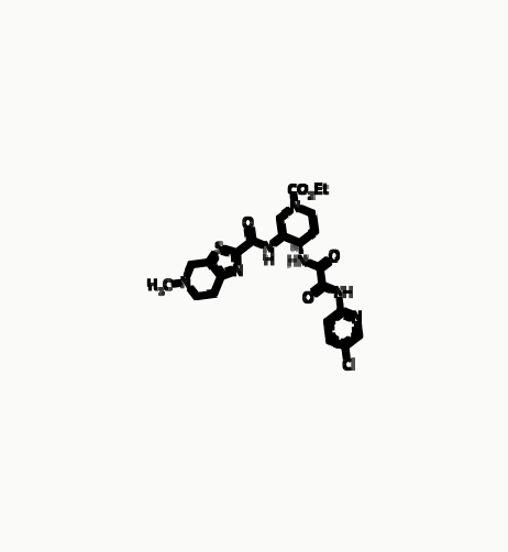 CCOC(=O)N1CC[C@H](NC(=O)C(=O)Nc2ccc(Cl)cn2)C(NC(=O)c2nc3c(s2)CN(C)CC3)C1